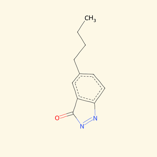 CCCCc1ccc2c(c1)C(=O)N=N2